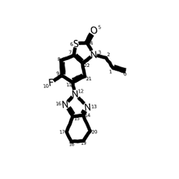 C=CCn1c(=O)sc2cc(F)c(-n3nc4c(n3)CCCC4)cc21